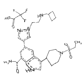 CCS(=O)(=O)N1CCC(c2c[nH]c3c(C(N)=O)cc(-c4cnn(CCNC5CCC5)c4)cc23)CC1.O=C(O)C(F)(F)F